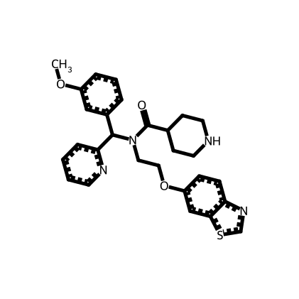 COc1cccc(C(c2ccccn2)N(CCOc2ccc3ncsc3c2)C(=O)C2CCNCC2)c1